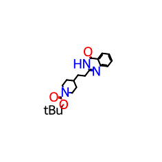 CC(C)(C)OC(=O)N1CCC(CCc2nc3ccccc3c(=O)[nH]2)CC1